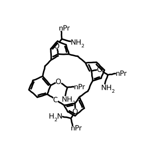 CCCC(N)Oc1c2cccc1Cc1cccc(c1OC(N)CCC)Cc1cccc(c1OC(N)CCC)Cc1cccc(c1OC(N)CCC)C2